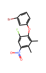 Cc1c([N+](=O)[O-])cc(F)c(Oc2cccc(Br)c2)c1C